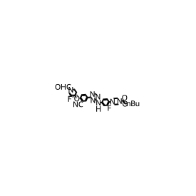 CCCCOC(=O)N1CCN(c2ccc(Nc3ncnc(-c4ccc(O[C@H]5CCN(C=O)C[C@H]5F)c(C#N)c4)n3)cc2F)CC1